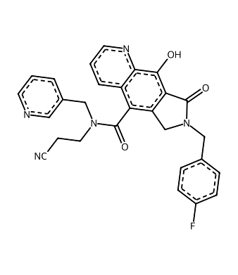 N#CCCN(Cc1cccnc1)C(=O)c1c2c(c(O)c3ncccc13)C(=O)N(Cc1ccc(F)cc1)C2